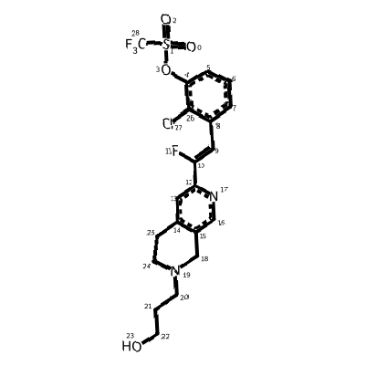 O=S(=O)(Oc1cccc(C=C(F)c2cc3c(cn2)CN(CCCO)CC3)c1Cl)C(F)(F)F